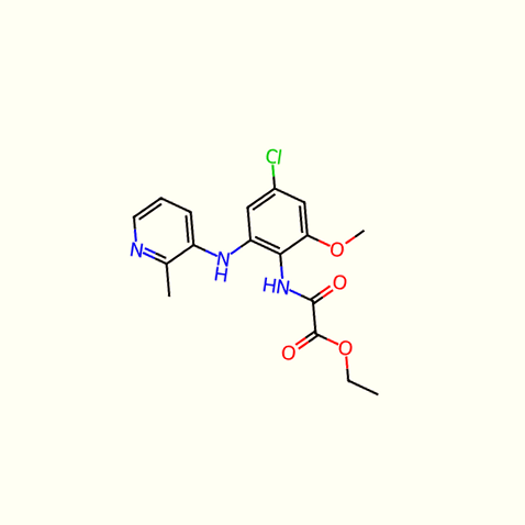 CCOC(=O)C(=O)Nc1c(Nc2cccnc2C)cc(Cl)cc1OC